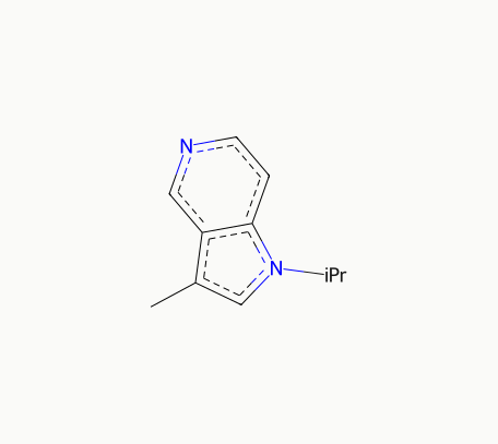 Cc1cn(C(C)C)c2ccncc12